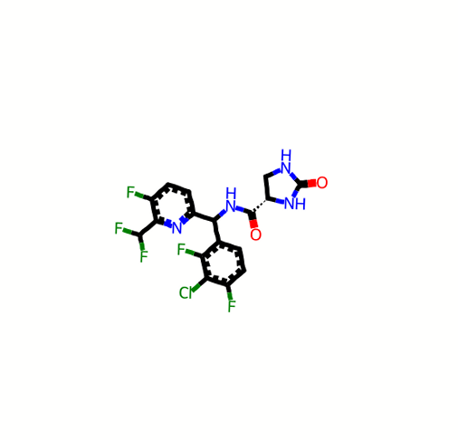 O=C1NC[C@@H](C(=O)NC(c2ccc(F)c(C(F)F)n2)c2ccc(F)c(Cl)c2F)N1